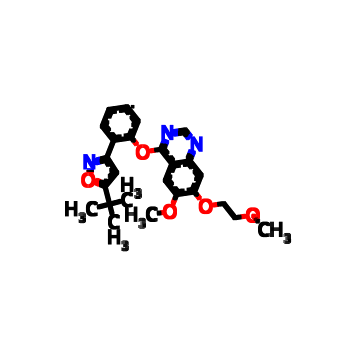 COCCOc1cc2ncnc(Oc3c[c]ccc3-c3cc(C(C)(C)C)on3)c2cc1OC